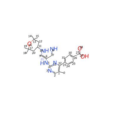 Cc1cnc(N/C(C=N)=C/NC2CC(C)(C)OC(C)(C)C2)nc1-c1ccc(C(=O)O)cc1